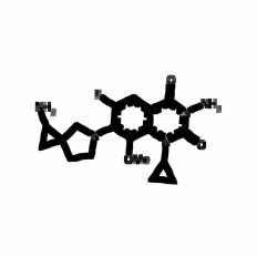 COc1c(N2CCC3(CC3N)C2)c(F)cc2c(=O)n(N)c(=O)n(C3CC3)c12